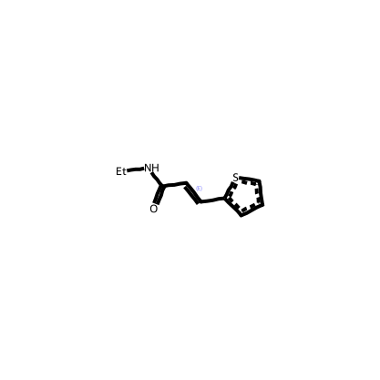 CCNC(=O)/C=C/c1cccs1